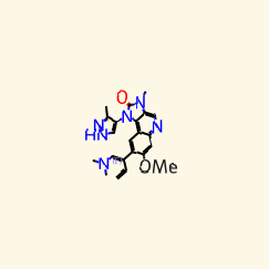 C=C/C(=C\N(C)C)c1cc2c(cc1OC)ncc1c2n(-c2c[nH]nc2C)c(=O)n1C